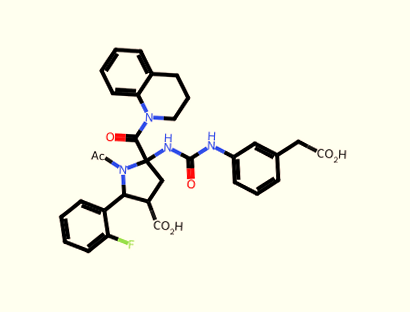 CC(=O)N1C(c2ccccc2F)C(C(=O)O)CC1(NC(=O)Nc1cccc(CC(=O)O)c1)C(=O)N1CCCc2ccccc21